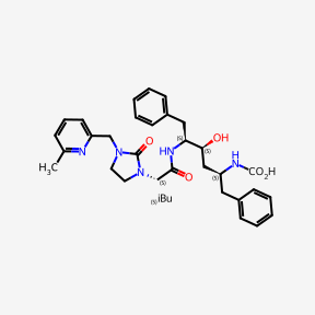 CC[C@H](C)[C@@H](C(=O)N[C@@H](Cc1ccccc1)[C@@H](O)C[C@H](Cc1ccccc1)NC(=O)O)N1CCN(Cc2cccc(C)n2)C1=O